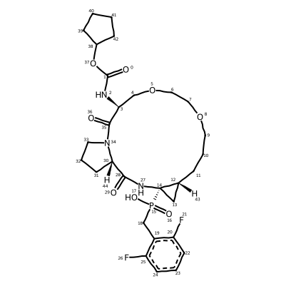 O=C(N[C@H]1COCCOCCC[C@@H]2C[C@@]2(P(=O)(O)Cc2c(F)cccc2F)NC(=O)[C@@H]2CCCN2C1=O)OC1CCCC1